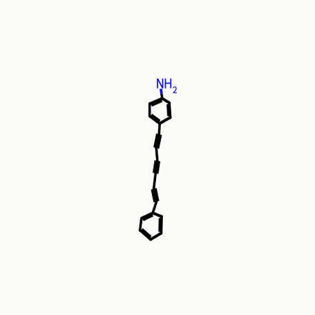 Nc1ccc(C#CC#CC#Cc2ccccc2)cc1